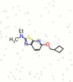 CCN(C)c1nc2ccc(OCC3CCC3)nc2s1